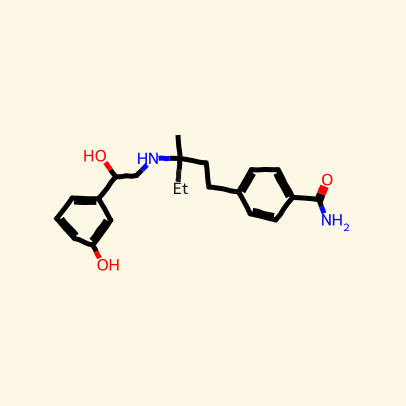 CCC(C)(CCc1ccc(C(N)=O)cc1)NCC(O)c1cccc(O)c1